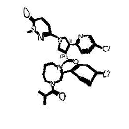 CC(C)C(=O)N1CCCCN(C(=O)[C@@H]2CN(c3ccc(=O)n(C)n3)C[C@H]2c2ccc(Cl)cn2)C(c2ccc(Cl)cc2)C1